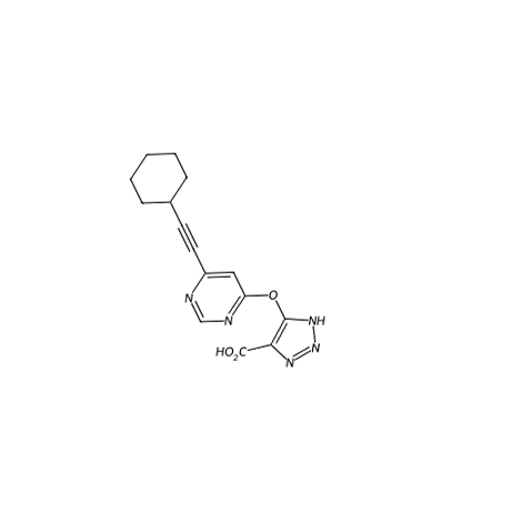 O=C(O)c1nn[nH]c1Oc1cc(C#CC2CCCCC2)ncn1